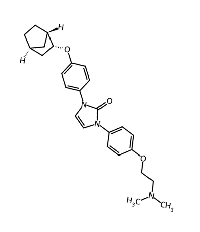 CN(C)CCOc1ccc(-n2ccn(-c3ccc(O[C@@H]4C[C@H]5CC[C@H]4C5)cc3)c2=O)cc1